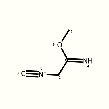 [C-]#[N+]CC(=N)OC